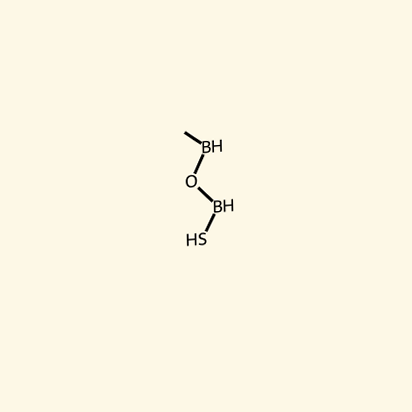 CBOBS